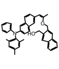 CC(=Cc1ccc2cc(N(c3ccccc3)c3c(C)cc(C)cc3C)ccc2c1)OCc1cc2ccccc2cc1CO